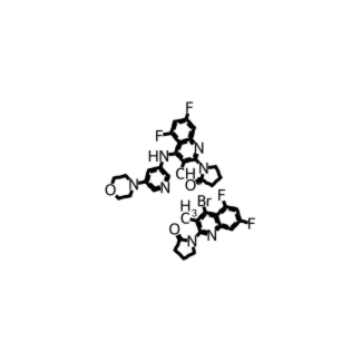 Cc1c(N2CCCC2=O)nc2cc(F)cc(F)c2c1Br.Cc1c(N2CCCC2=O)nc2cc(F)cc(F)c2c1Nc1cncc(N2CCOCC2)c1